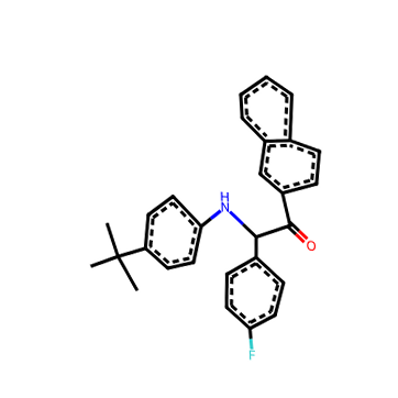 CC(C)(C)c1ccc(NC(C(=O)c2ccc3ccccc3c2)c2ccc(F)cc2)cc1